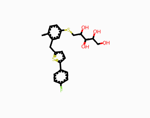 Cc1ccc(SCC(O)C(O)C(O)CO)cc1Cc1ccc(-c2ccc(F)cc2)s1